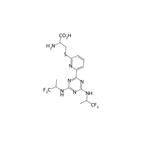 CC(Nc1nc(NC(C)C(F)(F)F)nc(-c2cccc(SCC(N)C(=O)O)n2)n1)C(F)(F)F